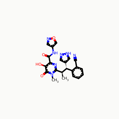 C[C@@H](c1nc(C(=O)Nc2cnoc2)c(O)c(=O)n1C)[C@H](c1cn[nH]c1)c1ccccc1C#N